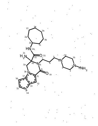 NN1CCN(CCCN2C(=O)c3cc4sccc4n3CC2(N)C(=O)NC2CCCCCC2)CC1